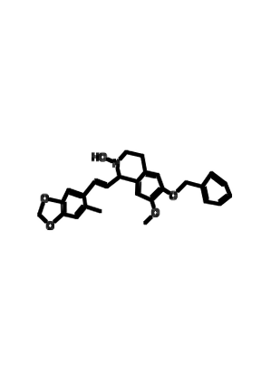 COc1cc2c(cc1OCc1ccccc1)CCN(O)C2/C=C/c1cc2c(cc1C)OCO2